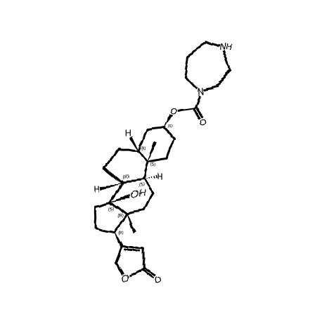 C[C@]12CC[C@H](OC(=O)N3CCCNCC3)C[C@H]1CC[C@@H]1[C@@H]2CC[C@]2(C)[C@@H](C3=CC(=O)OC3)CC[C@]12O